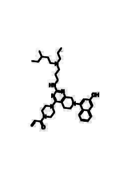 C=CC(=O)N1CCN(c2nc(NCCCN(CCC)CCC(C)CC)nc3c2CCN(c2cc(O)cc4ccccc24)C3)CC1